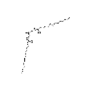 CCCCCCCCCCCCCC(=O)OCCN(C)COC(=O)CCCCCCCCCCCCC